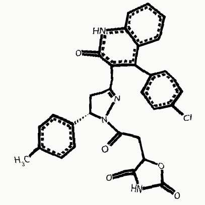 Cc1ccc([C@@H]2CC(c3c(-c4ccc(Cl)cc4)c4ccccc4[nH]c3=O)=NN2C(=O)CC2OC(=O)NC2=O)cc1